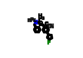 CC#N.CCCN(Cc1ccccc1)C(C)CCc1ccc(C2CCC(F)C2)cc1